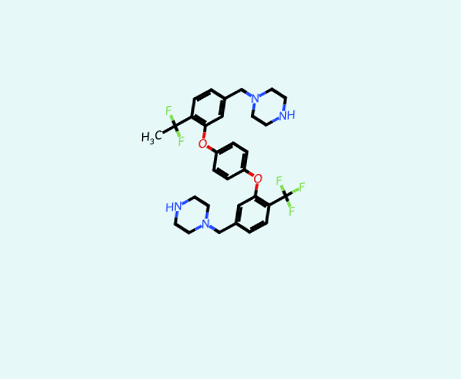 CC(F)(F)c1ccc(CN2CCNCC2)cc1Oc1ccc(Oc2cc(CN3CCNCC3)ccc2C(F)(F)F)cc1